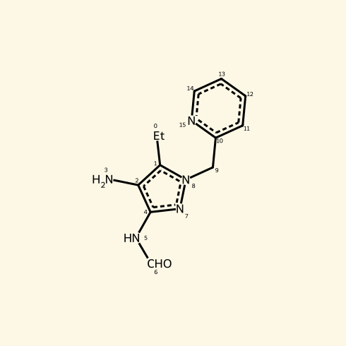 CCc1c(N)c(NC=O)nn1Cc1ccccn1